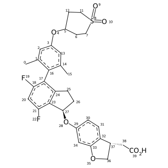 Cc1cc(OC2CCS(=O)(=O)CC2)cc(C)c1-c1c(F)cc(F)c2c1CC[C@H]2Oc1ccc2c(c1)OC[C@H]2CC(=O)O